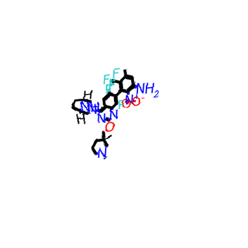 Cc1cc(N)c([N+](=O)[O-])c(-c2c(F)cc3c(N4C[C@H]5CC[C@@H](C4)N5)nc(OC[C@@]4(C)CCCN(C)C4)nc3c2F)c1C(F)(F)F